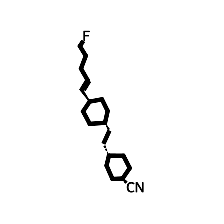 N#C[C@H]1CC[C@H](CC[C@H]2CC[C@H](C=CCCCF)CC2)CC1